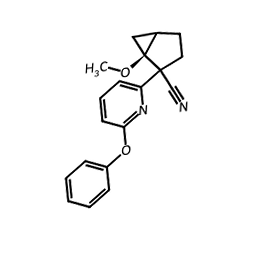 CO[C@@]12CC1CCC2(C#N)c1cccc(Oc2ccccc2)n1